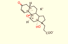 C[C@]12C[C@H]3O[C@@]34C(CC[C@H]3CC(=O)C=C[C@@]34C)C1CC[C@@]2(O)CCC(=O)[O-].[K+]